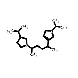 CC(CCC(C)N1CCC(C(C)C)C1)C1=CCN(C(C)C)C1